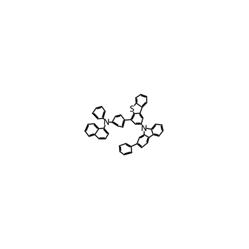 c1ccc(-c2ccc3c4ccccc4n(-c4cc(-c5ccc(N(c6ccccc6)c6cccc7ccccc67)cc5)c5sc6ccccc6c5c4)c3c2)cc1